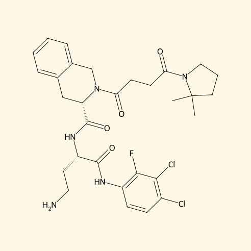 CC1(C)CCCN1C(=O)CCC(=O)N1Cc2ccccc2C[C@H]1C(=O)N[C@@H](CCN)C(=O)Nc1ccc(Cl)c(Cl)c1F